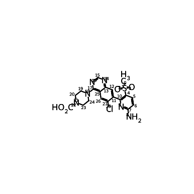 CS(=O)(=O)c1ccc(N)nc1-c1cc2ncnc(N3CCN(C(=O)O)CC3)c2cc1Cl